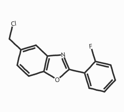 Fc1ccccc1-c1nc2cc(CCl)ccc2o1